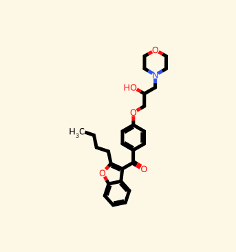 CCCCc1oc2ccccc2c1C(=O)c1ccc(OCC(O)CN2CCOCC2)cc1